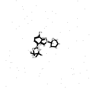 CC1(C)OB(c2ccc(F)c3nn(C4CCCCO4)cc23)OC1(C)C